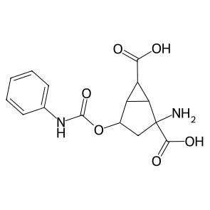 NC1(C(=O)O)CC(OC(=O)Nc2ccccc2)C2C(C(=O)O)C21